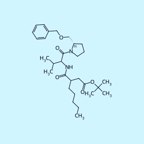 CCCCCC(CC(=O)OC(C)(C)C)C(=O)NC(C(=O)N1CCC[C@H]1COCc1ccccc1)C(C)C